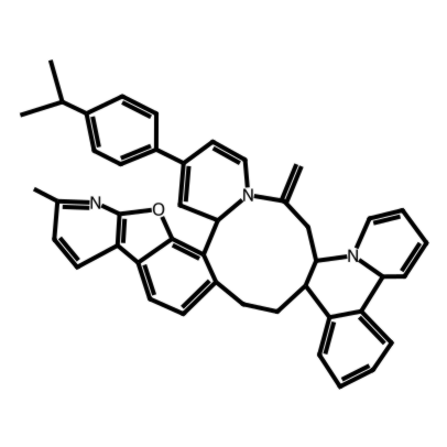 C=C1CC2C(CCc3ccc4c(oc5nc(C)ccc54)c3C3C=C(c4ccc(C(C)C)cc4)C=CN13)c1ccccc1C1C=CC=CN12